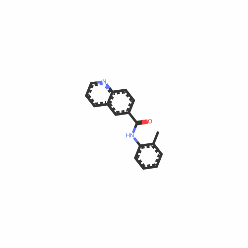 Cc1ccccc1NC(=O)c1ccc2ncccc2c1